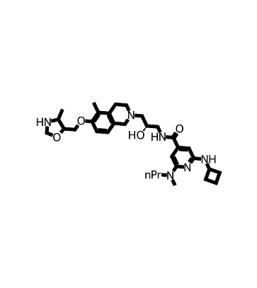 CCCN(C)c1cc(C(=O)NC[C@H](O)CN2CCc3c(ccc(OCC4OCNC4C)c3C)C2)cc(NC2CCC2)n1